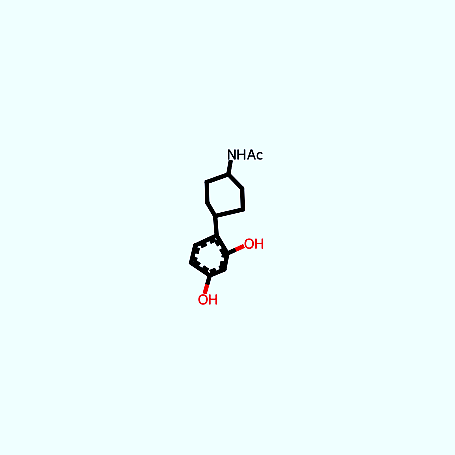 CC(=O)NC1CCC(c2ccc(O)cc2O)CC1